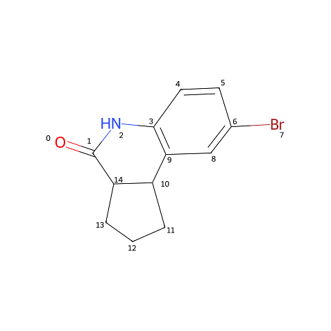 O=C1Nc2ccc(Br)cc2C2CCCC12